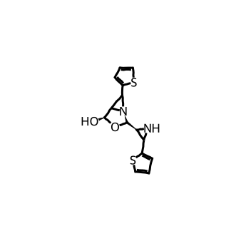 O[C@@H]1OC([C@H]2NC2c2cccs2)[N@]2C(c3cccs3)C12